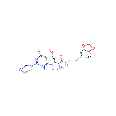 O=C=C1C(C(=O)NCCc2ccc3c(c2)OCO3)NCCN1c1cc(Cl)nc(-n2ccnc2)n1